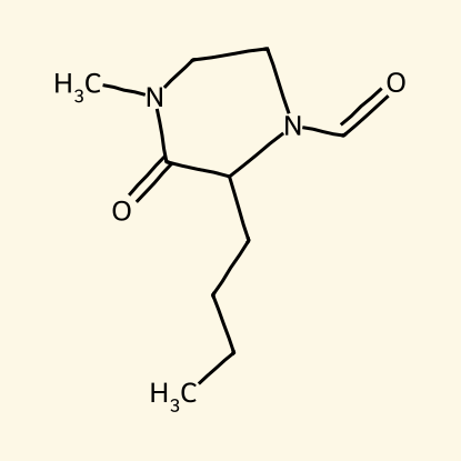 CCCCC1C(=O)N(C)CCN1C=O